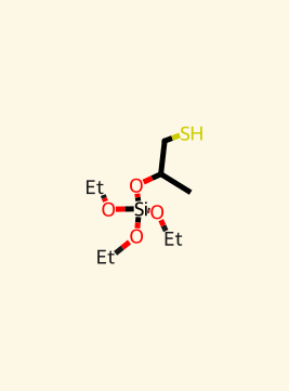 CCO[Si](OCC)(OCC)OC(C)CS